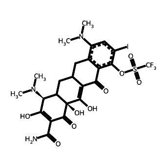 CN(C)c1cc(I)c(OS(=O)(=O)C(F)(F)F)c2c1CC1CC3[C@H](N(C)C)C(O)=C(C(N)=O)C(=O)[C@@]3(O)C(O)=C1C2=O